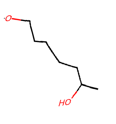 CC(O)CCCCC[O]